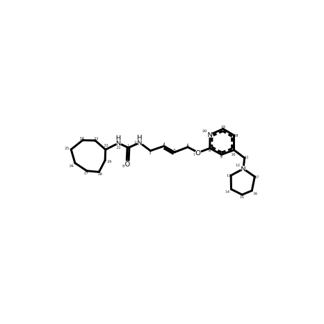 O=C(NCC=CCOc1cc(CN2CCCCC2)ccn1)NC1CCCCCCC1